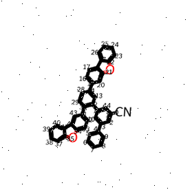 N#Cc1cc(-c2ccccc2)cc(-c2cc(-c3ccc4c(c3)oc3ccccc34)ccc2-c2ccc3oc4ccccc4c3c2)c1